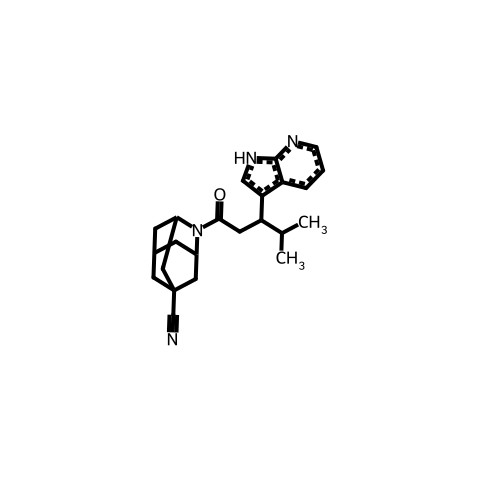 CC(C)C(CC(=O)N1C2CC3CC1CC(C#N)(C3)C2)c1c[nH]c2ncccc12